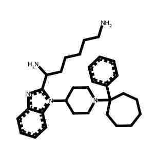 NCCCCCC(N)c1nc2ccccc2n1C1CCN(C2(c3ccccc3)CCCCCC2)CC1